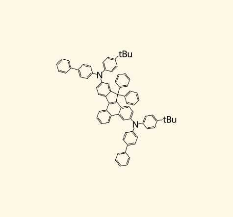 CC(C)(C)c1ccc(N(c2ccc(-c3ccccc3)cc2)c2ccc3c(c2)C(c2ccccc2)(c2ccccc2)c2c-3c3ccccc3c3cc(N(c4ccc(-c5ccccc5)cc4)c4ccc(C(C)(C)C)cc4)ccc23)cc1